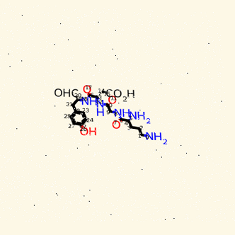 NCCC[C@H](N)C(=O)NCC(=O)N[C@@H](CC(=O)O)C(=O)N[C@@H](C=O)Cc1ccc(O)cc1